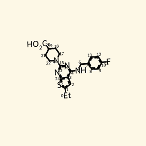 CCc1cc2c(NCc3ccc(F)cc3)nc(N3CCC(C(=O)O)CC3)nc2s1